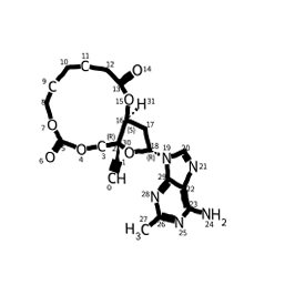 C#C[C@@]12COC(=O)OCCCCCC(=O)O[C@H]1C[C@H](n1cnc3c(N)nc(C)nc31)O2